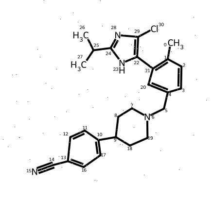 Cc1ccc(CN2CCC(c3ccc(C#N)cc3)CC2)cc1-c1[nH]c(C(C)C)nc1Cl